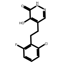 O=c1[nH]ncc(CCc2c(F)cccc2Cl)c1O